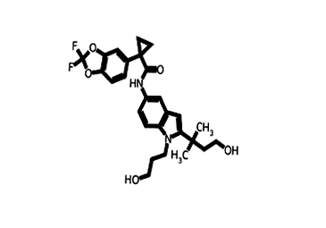 CC(C)(CCO)c1cc2cc(NC(=O)C3(c4ccc5c(c4)OC(F)(F)O5)CC3)ccc2n1CCCO